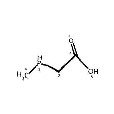 CPCC(=O)O